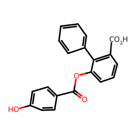 O=C(Oc1cccc(C(=O)O)c1-c1ccccc1)c1ccc(O)cc1